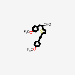 O=CC(Cc1ccc(OC(F)(F)F)cc1)c1ccc(C#Cc2ccc(OC(F)(F)F)cc2)s1